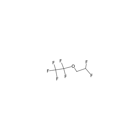 FC(F)COC(F)(F)C(F)(F)F